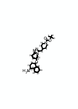 CC(C)(C)OC(=O)N1CCC(Cc2nnc3ccc(O[C@@H]4CC[C@H](N)c5ccccc54)cn23)CC1